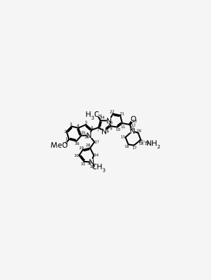 COc1ccc2cc(-c3nc4cc(C(=O)N5CCC[C@@H](N)C5)ccn4c3C)n(CC3=CC=CN(C)C3)c2c1